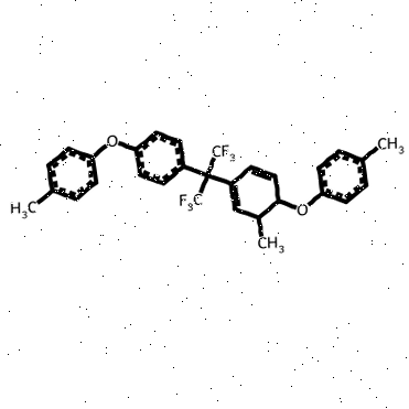 Cc1ccc(Oc2ccc(C(C3=CC(C)C(Oc4ccc(C)cc4)C=C3)(C(F)(F)F)C(F)(F)F)cc2)cc1